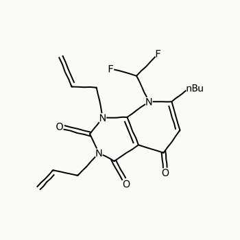 C=CCn1c(=O)c2c(=O)cc(CCCC)n(C(F)F)c2n(CC=C)c1=O